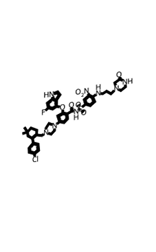 CC1(C)CCC(CN2CCN(c3ccc(C(=O)NS(=O)(=O)c4ccc(NCCCN5CCNC(=O)C5)c([N+](=O)[O-])c4)c(Oc4cc(F)cc5[nH]ccc45)c3)CC2)=C(c2ccc(Cl)cc2)C1